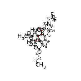 CCCCOC(=O)n1ccc2c(CN3CCN(CC(F)F)C[C@@H]3c3ccc(C(=O)OC)c(OC4COC4)c3)c(OC)cc(C)c21